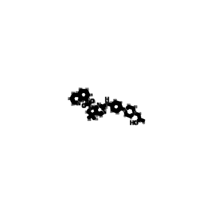 CC(O)CN1CCN(c2ccc(Nc3ncc4c(n3)N(S(=O)(=O)c3cccc5cccnc35)CC4(C)C)cc2)CC1